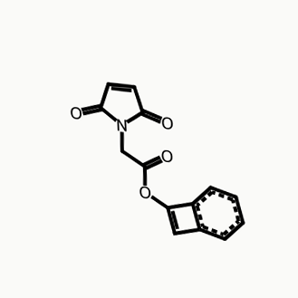 O=C(CN1C(=O)C=CC1=O)OC1=Cc2ccccc21